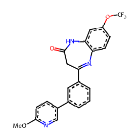 COc1ccc(-c2cccc(C3=Nc4ccc(OC(F)(F)F)cc4NC(=O)C3)c2)cn1